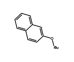 CCC(C)Oc1[c]c2ccccc2cc1